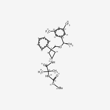 C[C@@H](OC[C@]1(c2ccccc2)C[C@@H](NC(=O)C(C)(C)NC(=O)OC(C)(C)C)C1)c1cc(C(F)(F)F)cc(C(F)(F)F)c1